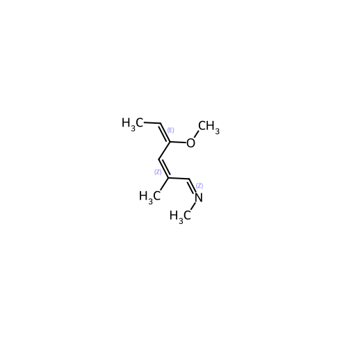 C\C=C(/C=C(C)\C=N/C)OC